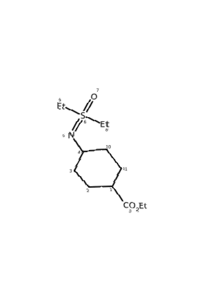 CCOC(=O)C1CCC(N=S(=O)(CC)CC)CC1